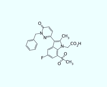 Cc1c(-c2ccc(=O)n(Cc3ccccc3)n2)c2cc(F)cc(S(C)(=O)=O)c2n1CC(=O)O